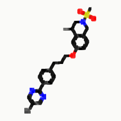 CCc1cnc(-c2ccc(CCCOc3ccc4c(c3)C(C)CN(S(C)(=O)=O)C4)cc2)nc1